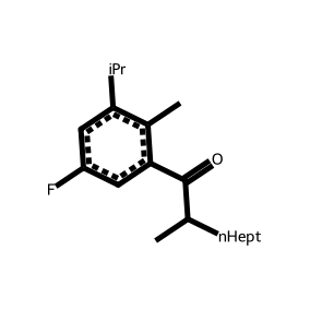 CCCCCCCC(C)C(=O)c1cc(F)cc(C(C)C)c1C